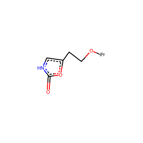 CC(C)OCCc1c[nH]c(=O)o1